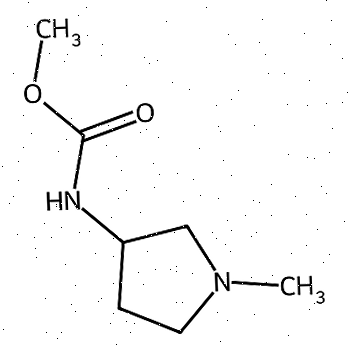 COC(=O)NC1CCN(C)C1